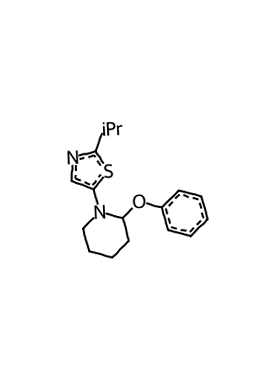 CC(C)c1ncc(N2CCCCC2Oc2ccccc2)s1